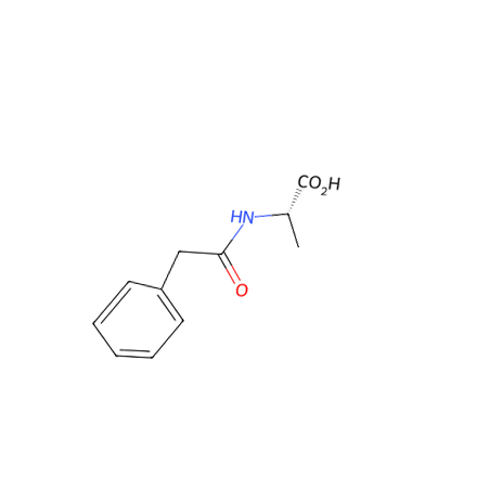 C[C@H](NC(=O)Cc1ccccc1)C(=O)O